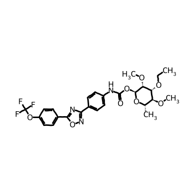 CCO[C@@H]1[C@@H](OC)[C@H](C)O[C@@H](OC(=O)Nc2ccc(-c3noc(-c4ccc(OC(F)(F)F)cc4)n3)cc2)[C@@H]1OC